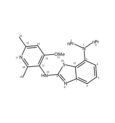 CCCN(CCC)c1cccc2nc(Nc3c(OC)cc(C)nc3C)sc12